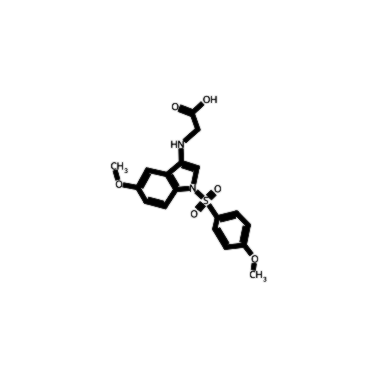 COc1ccc(S(=O)(=O)n2cc(NCC(=O)O)c3cc(OC)ccc32)cc1